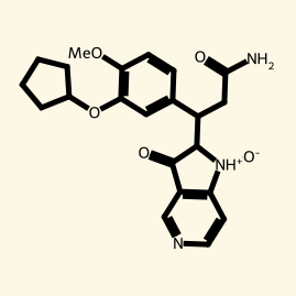 COc1ccc(C(CC(N)=O)C2C(=O)c3cnccc3[NH+]2[O-])cc1OC1CCCC1